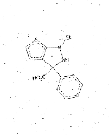 CCN1NC(C(=O)O)(c2ccccc2)c2ccsc21